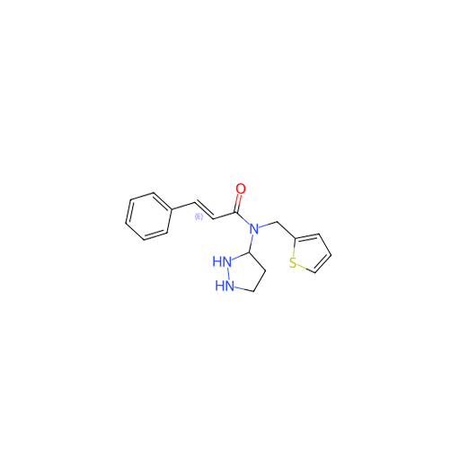 O=C(/C=C/c1ccccc1)N(Cc1cccs1)C1CCNN1